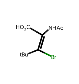 CC(=O)NC(C(=O)O)=C(Br)C(C)(C)C